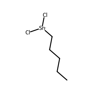 CCCC[CH2][Sn]([Cl])[Cl]